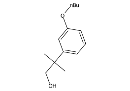 CCCCOc1cccc(C(C)(C)CO)c1